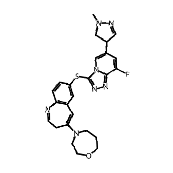 CN1CC(c2cc(F)c3nnc(Sc4ccc5c(c4)C=C(N4CCCOCC4)CC=N5)n3c2)C=N1